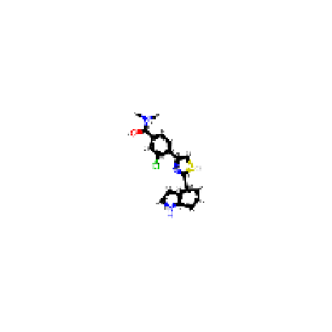 CN(C)C(=O)c1ccc(-c2csc(-c3cccc4[nH]ccc34)n2)c(Cl)c1